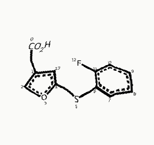 O=C(O)c1coc(Sc2ccccc2F)c1